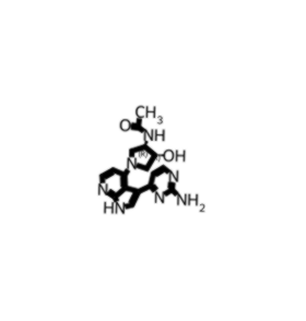 CC(=O)N[C@@H]1CN(c2ccnc3[nH]cc(-c4ccnc(N)n4)c23)C[C@H]1O